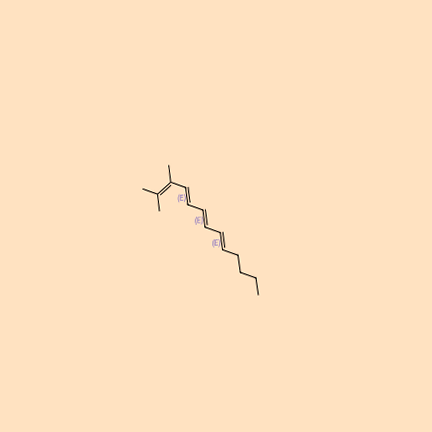 CCCC/C=C/C=C/C=C/C(C)=C(C)C